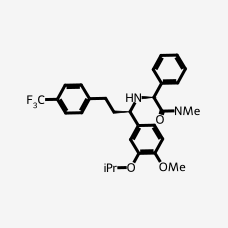 CNC(=O)[C@@H](N[C@H](CCc1ccc(C(F)(F)F)cc1)c1ccc(OC)c(OC(C)C)c1)c1ccccc1